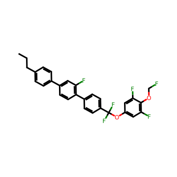 CCCc1ccc(-c2ccc(-c3ccc(C(F)(F)Oc4cc(F)c(OCF)c(F)c4)cc3)c(F)c2)cc1